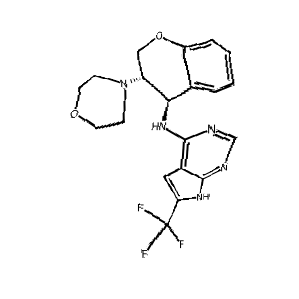 FC(F)(F)c1cc2c(N[C@@H]3c4ccccc4OC[C@H]3N3CCOCC3)ncnc2[nH]1